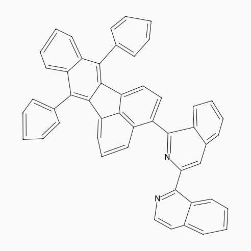 c1ccc(-c2c3c(c(-c4ccccc4)c4ccccc24)-c2ccc(-c4nc(-c5nccc6ccccc56)cc5ccccc45)c4cccc-3c24)cc1